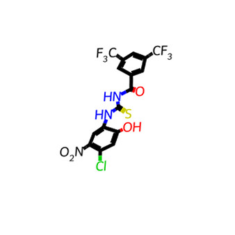 O=C(NC(=S)Nc1cc([N+](=O)[O-])c(Cl)cc1O)c1cc(C(F)(F)F)cc(C(F)(F)F)c1